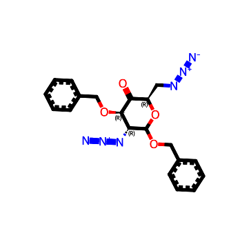 [N-]=[N+]=NC[C@H]1OC(OCc2ccccc2)[C@H](N=[N+]=[N-])[C@@H](OCc2ccccc2)C1=O